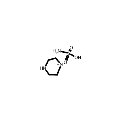 C1CNCCN1.NS(=O)(=O)O